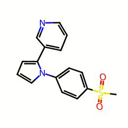 CS(=O)(=O)c1ccc(-n2cccc2-c2cccnc2)cc1